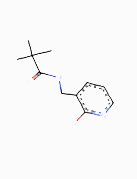 CC(C)(C)C(=O)NCc1cccnc1O